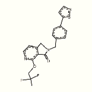 CC(F)(F)COc1nccc2c1C(=O)N(Cc1ccc(-c3ccns3)cc1)C2